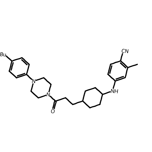 Cc1cc(NC2CCC(CCC(=O)N3CCN(c4ccc(C(C)(C)C)cc4)CC3)CC2)ccc1C#N